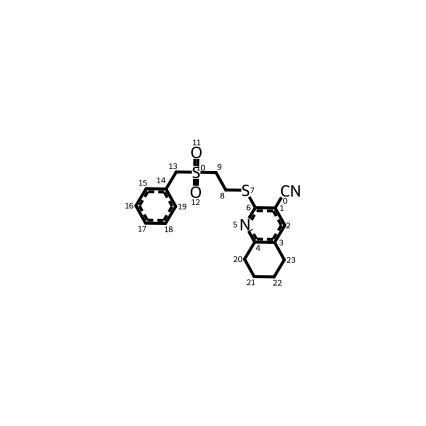 N#Cc1cc2c(nc1SCCS(=O)(=O)Cc1ccccc1)CCCC2